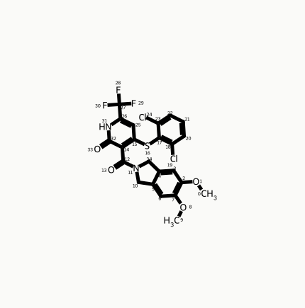 COc1cc2c(cc1OC)CN(C(=O)c1c(Sc3c(Cl)cccc3Cl)cc(C(F)(F)F)[nH]c1=O)C2